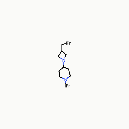 CC(C)CC1CN(C2CCN(C(C)C)CC2)C1